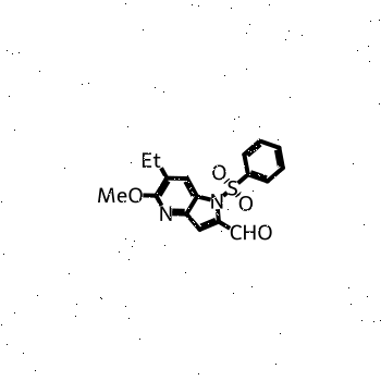 CCc1cc2c(cc(C=O)n2S(=O)(=O)c2ccccc2)nc1OC